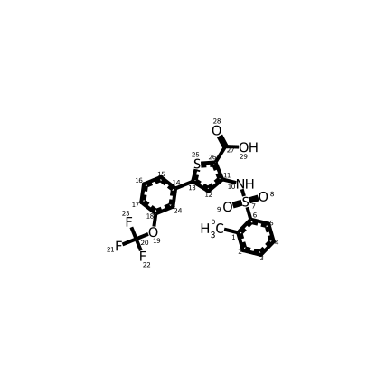 Cc1ccccc1S(=O)(=O)Nc1cc(-c2cccc(OC(F)(F)F)c2)sc1C(=O)O